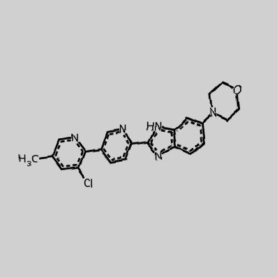 Cc1cnc(-c2ccc(-c3nc4ccc(N5CCOCC5)cc4[nH]3)nc2)c(Cl)c1